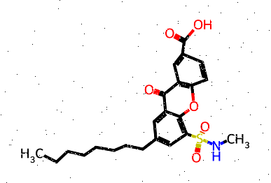 CCCCCCCCc1cc(S(=O)(=O)NC)c2oc3ccc(C(=O)O)cc3c(=O)c2c1